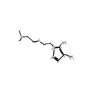 CN(C)CCOCCn1ncc(N)c1N